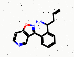 C=CCC(N)c1ccccc1-c1noc2ccncc12